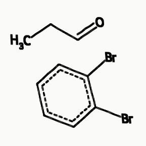 Brc1ccccc1Br.CCC=O